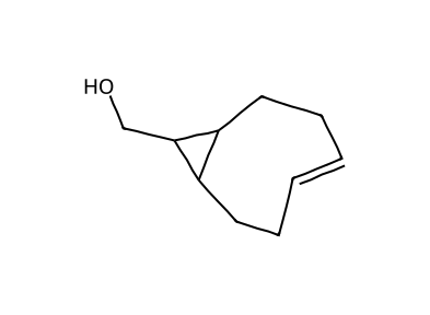 OCC1C2CC/C=C/CCC12